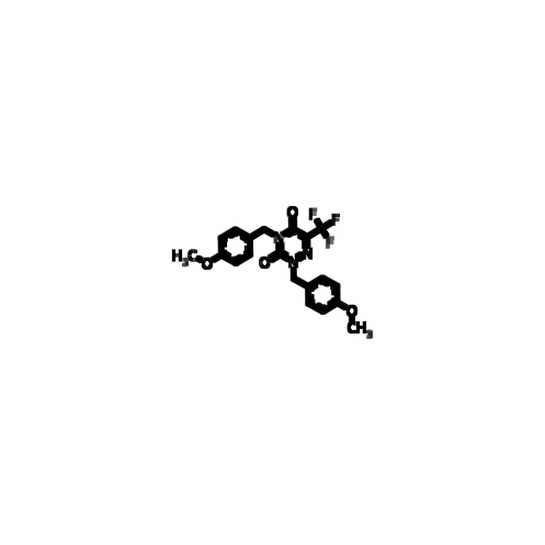 COc1ccc(Cn2nc(C(F)(F)F)c(=O)n(Cc3ccc(OC)cc3)c2=O)cc1